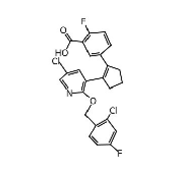 O=C(O)c1cc(C2=C(c3cc(Cl)cnc3OCc3ccc(F)cc3Cl)CCC2)ccc1F